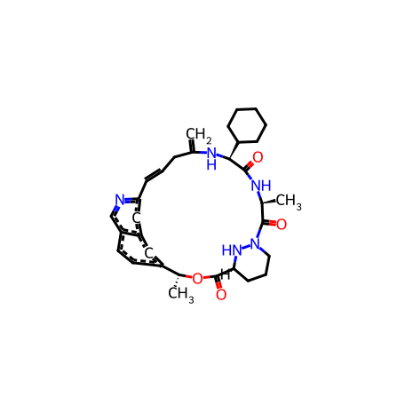 C=C1C/C=C/c2cc3cc(ccc3cn2)[C@@H](C)OC(=O)[C@@H]2CCCN(N2)C(=O)[C@H](C)NC(=O)[C@H](C2CCCCC2)N1